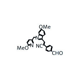 COc1ccc2c(/C=C(\C#N)c3ccc(C=O)cc3)cn(Cc3ccc(OC)nc3)c2c1